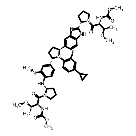 C=Nc1cc([C@@H]2CC[C@@H](c3ccc4[nH]c([C@@H]5CCCN5C(=O)[C@@H](NC(=O)OC)[C@@H](C)OC)nc4c3)N2c2ccc(C3CC3)cc2F)ccc1N[C@@H]1CCCN1C(=O)[C@@H](NC(=O)OC)[C@@H](C)OC